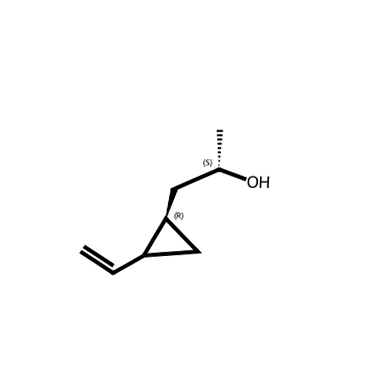 C=CC1C[C@@H]1C[C@H](C)O